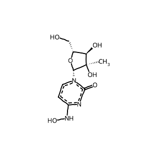 C[C@@]1(O)[C@H](O)[C@@H](CO)O[C@H]1n1ccc(NO)nc1=O